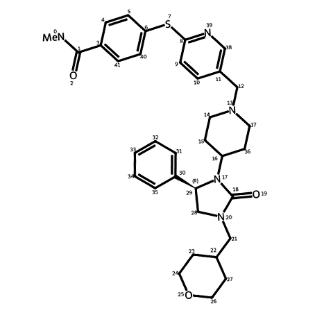 CNC(=O)c1ccc(Sc2ccc(CN3CCC(N4C(=O)N(CC5CCOCC5)C[C@H]4c4ccccc4)CC3)cn2)cc1